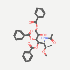 CO[C@H](C)[C@@H](NC(C)=O)C(OC(=O)c1ccccc1)[C@@H](OC(=O)c1ccccc1)C(O)COC(=O)c1ccccc1